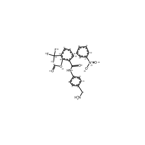 NCc1ccc(NC(=O)c2cccc(C(F)(F)F)c2OC=O)cc1.O=[N+]([O-])c1ccccc1